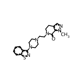 Cn1ncc2c1C(=O)N(CCN1CCN(c3nsc4ccccc34)CC1)CC2